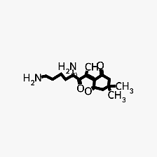 CC(C(=O)[C@@H](N)CCCCN)=C1C(=O)CC(C)(C)CC1=O